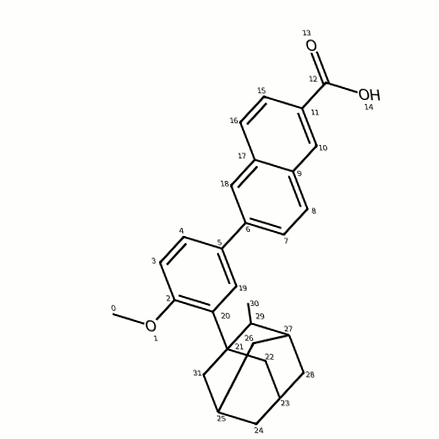 COc1ccc(-c2ccc3cc(C(=O)O)ccc3c2)cc1C12CC3CC(CC(C3)C1C)C2